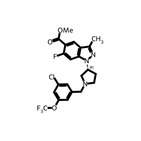 COC(=O)c1cc2c(C)nn([C@@H]3CCN(Cc4cc(Cl)cc(OC(F)(F)F)c4)C3)c2cc1F